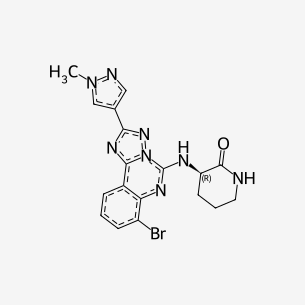 Cn1cc(-c2nc3c4cccc(Br)c4nc(N[C@@H]4CCCNC4=O)n3n2)cn1